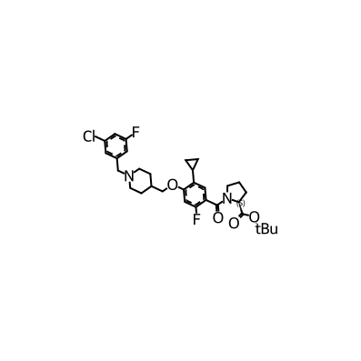 CC(C)(C)OC(=O)[C@@H]1CCCN1C(=O)c1cc(C2CC2)c(OCC2CCN(Cc3cc(F)cc(Cl)c3)CC2)cc1F